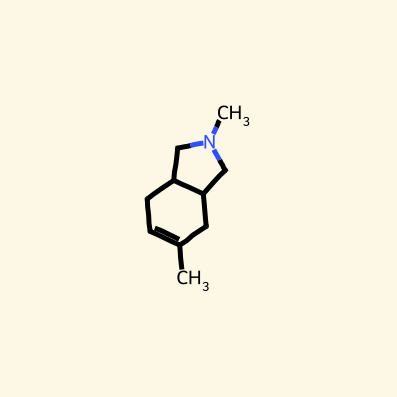 CC1=CCC2CN(C)CC2C1